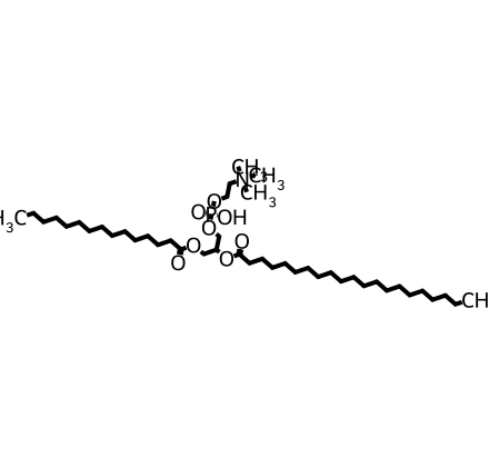 CCCCCCCCCCCCCCCCCCCCC(=O)OC(COC(=O)CCCCCCCCCCCCCC)COP(=O)(O)OCC[N+](C)(C)C